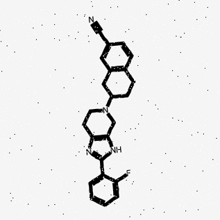 N#Cc1ccc2c(c1)CC(N1CCc3nc(-c4ccccc4F)[nH]c3C1)CC2